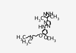 CCCN(CC)CCCOc1cc(Nc2nccc(-c3c(C)n[nH]c3C)n2)ccc1OC